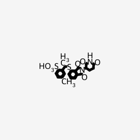 Cc1ccc(S(=O)(=O)O)c(C(C)Sc2cccc3c2C(=O)N(C2CCC(=O)NC2=O)C3=O)c1